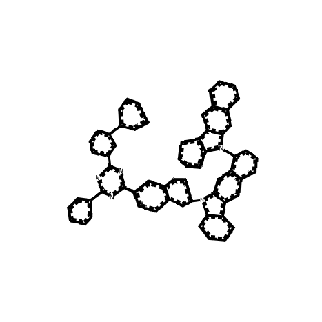 c1ccc(-c2cccc(-c3nc(-c4ccccc4)nc(-c4ccc5cc(-n6c7ccccc7c7cc8cccc(-n9c%10ccccc%10c%10cc%11ccccc%11cc%109)c8cc76)ccc5c4)n3)c2)cc1